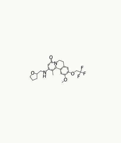 COc1cc2c(cc1OCC(F)(F)F)CCn1c-2c(C)c(NCC2CCCO2)cc1=O